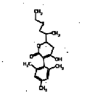 CCSCC(C)C1CC(O)=C(c2c(C)cc(C)cc2C)C(=O)O1